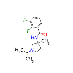 CC(C)N1CCC(C)(NC(=O)c2cccc(F)c2F)C1